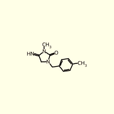 Cc1ccc(CN2CC(=N)N(C)C2=O)cc1